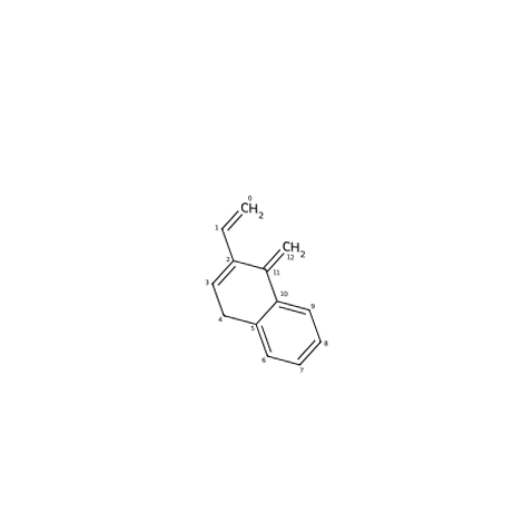 C=CC1=CCc2ccccc2C1=C